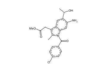 COC(=O)Cc1c(C)n(C(=O)c2ccc(Cl)cc2)c2cc(N)c(C(C)O)cc12